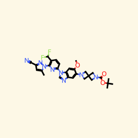 COc1cc2c(cc1N1CC3(CN(C(=O)OC(C)(C)C)C3)C1)ncn2-c1ccc(C(F)F)c(-n2nc(C#N)cc2C)n1